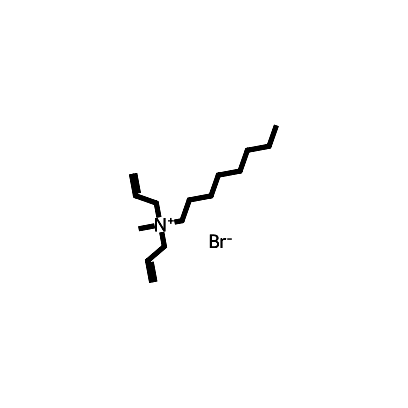 C=CC[N+](C)(CC=C)CCCCCCCC.[Br-]